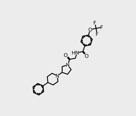 O=C(NCC(=O)N1CCC(N2CCC(c3ccccc3)CC2)C1)c1ccc(OC(F)(F)F)cc1